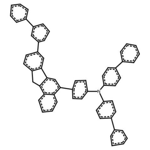 c1ccc(-c2ccc(N(c3ccc(-c4ccccc4)cc3)c3ccc(-c4cc5c(c6ccccc46)Cc4ccc(-c6cccc(-c7ccccc7)c6)cc4-5)cc3)cc2)cc1